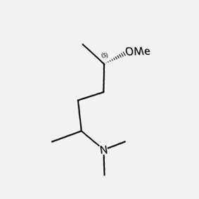 CO[C@@H](C)CCC(C)N(C)C